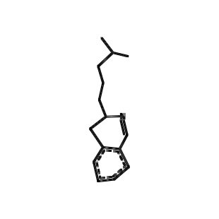 CC(C)CCCC1Cc2ccccc2C=N1